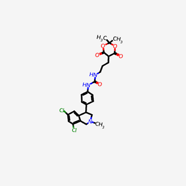 CN1Cc2c(Cl)cc(Cl)cc2C(c2ccc(NC(=O)NCCCC3C(=O)OC(C)(C)OC3=O)cc2)C1